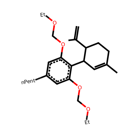 C=C(C)C1CCC(C)=CC1c1c(OCOCC)cc(CCCCC)cc1OCOCC